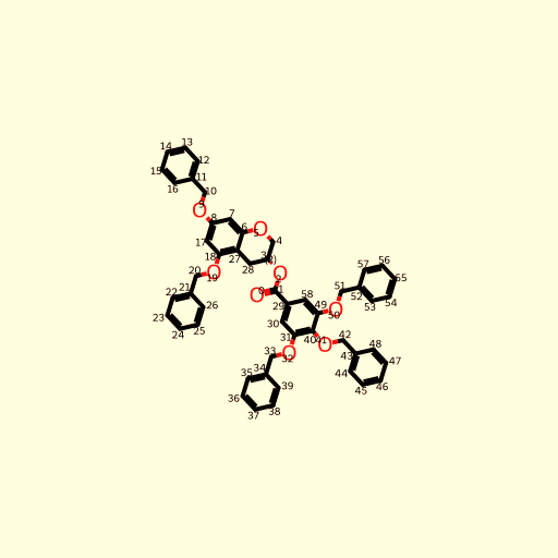 O=C(O[C@H]1COc2cc(OCc3ccccc3)cc(OCc3ccccc3)c2C1)c1cc(OCc2ccccc2)c(OCc2ccccc2)c(OCc2ccccc2)c1